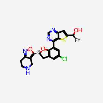 CCC(O)c1cc2ncnc(-c3cc(Cl)cc4c3O[C@@H](c3onc5c3CNCC5)C4)c2s1